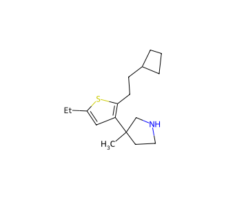 CCc1cc(C2(C)CCNC2)c(CCC2CCC2)s1